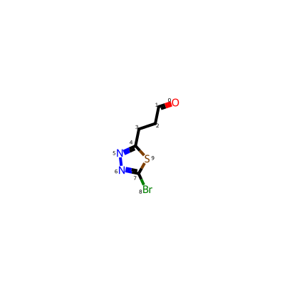 O=CCCc1nnc(Br)s1